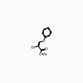 CCC(=COc1ccccc1)C(=O)OC